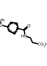 CCCOc1ccc(C(=O)NCCC(=O)O)cc1